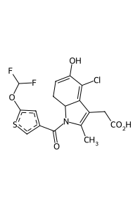 CC1=C(CC(=O)O)C2=C(Cl)C(O)=CCC2N1C(=O)c1csc(OC(F)F)c1